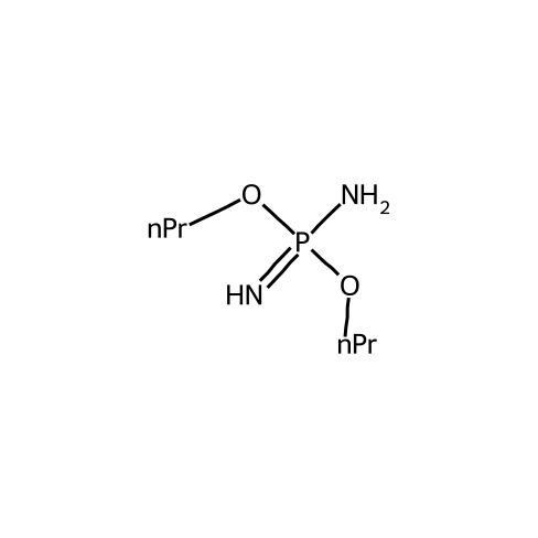 CCCOP(=N)(N)OCCC